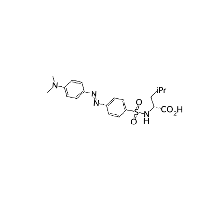 CC(C)C[C@@H](NS(=O)(=O)c1ccc(N=Nc2ccc(N(C)C)cc2)cc1)C(=O)O